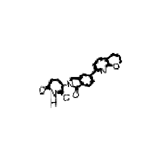 O=C1CC[C@H](N2Cc3cc(-c4ccc5c(n4)OCCC5)ccc3C2=O)C(=O)N1